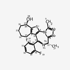 Cc1nnc2n1-c1sc3c(c1C(c1c(F)cccc1F)=N[C@H]2C)CCCC[C@H]3O